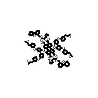 O=C(OCc1cccc2c1oc1ccccc12)C(c1ccco1)N1C(=O)c2cc(Oc3ccc(Oc4cccc(CC5CO5)c4)cc3)c3c4c(Oc5ccc(Oc6cccc(CC7CO7)c6)cc5)cc5c6c(cc(Oc7ccc(Oc8cccc(CC9CO9)c8)cc7)c(c7c(Oc8ccc(Oc9cccc(CC%10CO%10)c9)cc8)cc(c2c37)C1=O)c64)C(=O)N(C(C(=O)OCc1cccc2c1oc1ccccc12)c1ccco1)C5=O